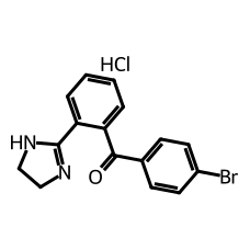 Cl.O=C(c1ccc(Br)cc1)c1ccccc1C1=NCCN1